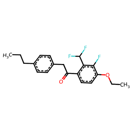 CCCc1ccc(CC(=O)c2ccc(OCC)c(F)c2C(F)F)cc1